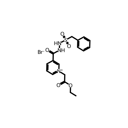 CCOC(=O)C[n+]1cccc(C(=O)NNS(=O)(=O)Cc2ccccc2)c1.[Br-]